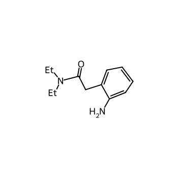 CCN(CC)C(=O)Cc1ccccc1N